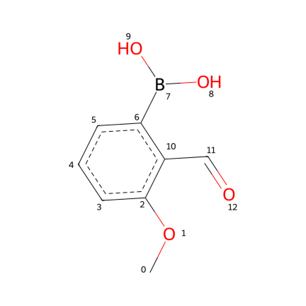 COc1cccc(B(O)O)c1C=O